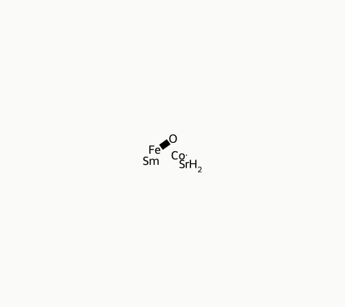 [Co].[O]=[Fe].[Sm].[SrH2]